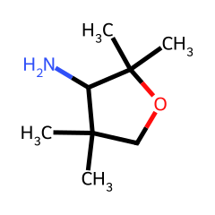 CC1(C)COC(C)(C)C1N